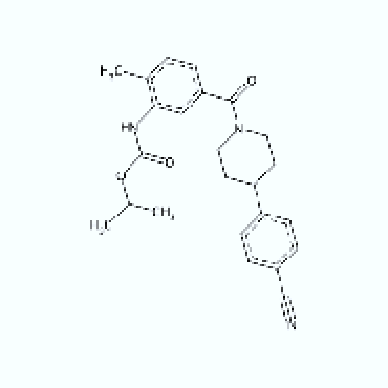 Cc1ccc(C(=O)N2CCC(c3ccc(C#N)cc3)CC2)cc1NC(=O)OC(C)C